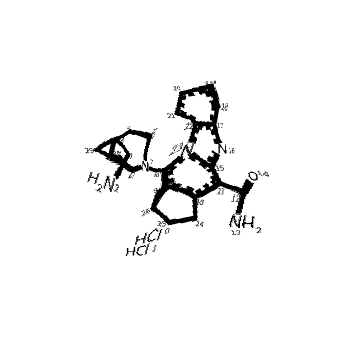 Cl.Cl.NCC12CCN(c3c4c(c(C(N)=O)c5nc6ccccc6n35)CCC4)CC1C2